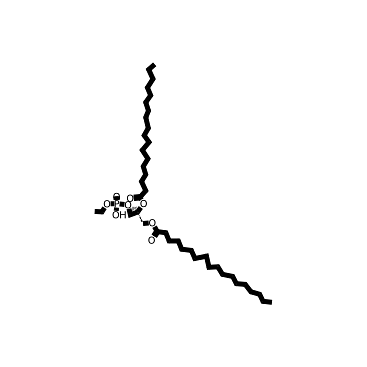 CCCCCCCCCCCCCCCCCC(=O)OC[C@H](COP(=O)(O)OCC)OC(=O)CCCCCCCCCCCCCCCCC